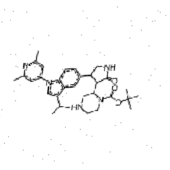 Cc1cc(-n2cc(C(C)C)c3cc(C4CNC(=O)C4C4CNCCN4C(=O)OC(C)(C)C)ccc32)cc(C)n1